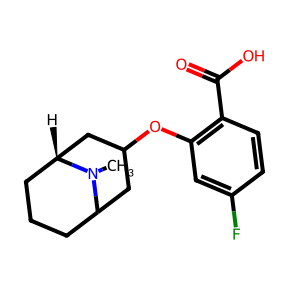 CN1C2CCC[C@@H]1CC(Oc1cc(F)ccc1C(=O)O)C2